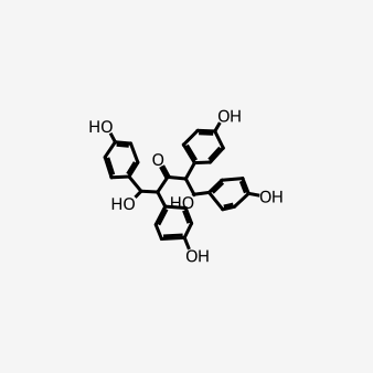 O=C(C(c1ccc(O)cc1)C(O)c1ccc(O)cc1)C(c1ccc(O)cc1)C(O)c1ccc(O)cc1